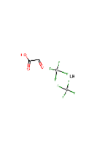 F[B-](F)(F)F.F[B-](F)(F)F.O=CC(=O)O.[LiH]